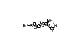 Cc1c(COc2cc(OCc3cncc(C#N)c3)c(CN)cc2Cl)cccc1-c1cccc(OCCCBr)c1Cl